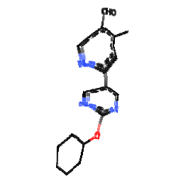 Cc1cc(-c2cnc(OC3CCCCC3)nc2)ncc1C=O